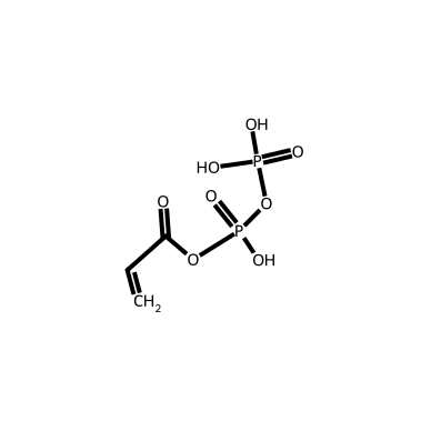 C=CC(=O)OP(=O)(O)OP(=O)(O)O